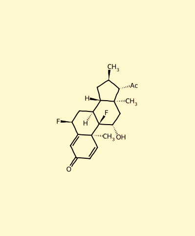 CC(=O)[C@H]1[C@H](C)C[C@H]2[C@@H]3C[C@H](F)C4=CC(=O)C=C[C@]4(C)[C@@]3(F)[C@@H](O)C[C@@]21C